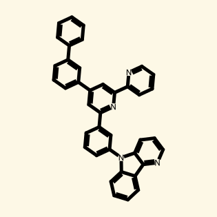 c1ccc(-c2cccc(-c3cc(-c4cccc(-n5c6ccccc6c6ncccc65)c4)nc(-c4ccccn4)c3)c2)cc1